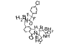 BN(Cc1ccc2c(c1)CN([C@]1(B)CC(B)(B)C(=O)NC1=O)C2=O)C(=O)C(F)(F)c1ccc(Cl)cc1